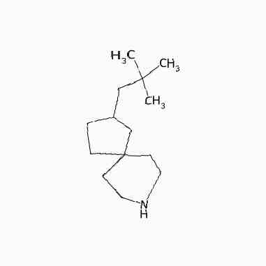 CC(C)(C)CC1CCC2(CCNCC2)C1